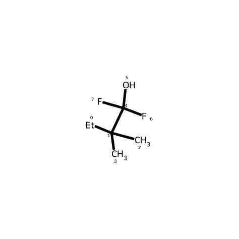 CCC(C)(C)C(O)(F)F